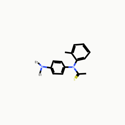 CCN(CC)c1ccc(N(C(C)=S)c2ccccc2C)cc1